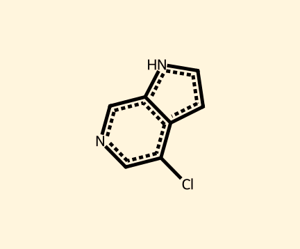 Clc1cncc2[nH]ccc12